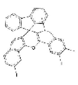 Cc1cc2c(cc1I)C1=C(C(C)C2)C2(c3ccccc3-c3ccccc32)c2ccc3ccc(I)cc3c2O1